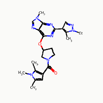 CCn1ncc(-c2nc(OC3CCN(C(=O)c4cc(C)n(C)c4C)C3)c3ncn(C)c3n2)c1C